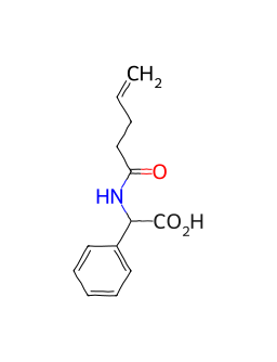 C=CCCC(=O)NC(C(=O)O)c1ccccc1